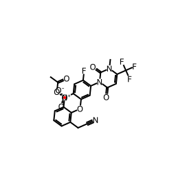 CC(=O)OOc1cccc(CC#N)c1Oc1cc(-n2c(=O)cc(C(F)(F)F)n(C)c2=O)c(F)cc1[N+](=O)[O-]